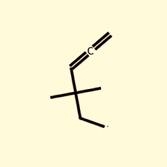 [CH2]CC(C)(C)C=C=C